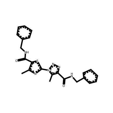 Cc1nc(-n2nnc(C(=O)NCc3ccccc3)c2C)sc1C(=O)NCc1ccccc1